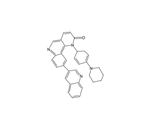 O=c1ccc2cnc3ccc(-c4cnc5ccccc5c4)cc3c2n1C1C=CC(N2CCCCC2)=CC1